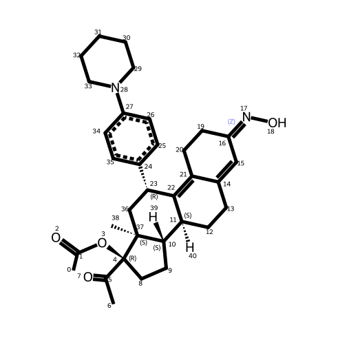 CC(=O)O[C@]1(C(C)=O)CC[C@H]2[C@@H]3CCC4=C/C(=N\O)CCC4=C3[C@@H](c3ccc(N4CCCCC4)cc3)C[C@@]21C